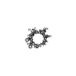 CC[C@H](C)[C@H]1NC(=O)[C@@H](CO)NC(=O)[C@@H](Cc2c[nH]c3ccccc23)NC(=O)[C@@H](Cc2c[nH]c3ccccc23)NC(=O)[C@@H](CO)NC(=O)[C@@H](NC(=O)[C@H](C)N)SSCC(C(=O)NCC(=O)O)NC(=O)[C@@H](Cc2c[nH]cn2)NC(=O)[C@@H](CC(C)C)NC1=O